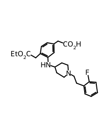 CCOC(=O)Cc1ccc(CC(=O)O)cc1NC1CCN(CCc2ccccc2F)CC1